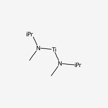 CC(C)[N](C)[Ti][N](C)C(C)C